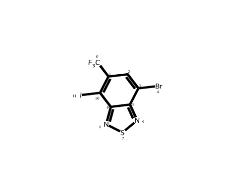 FC(F)(F)c1cc(Br)c2nsnc2c1I